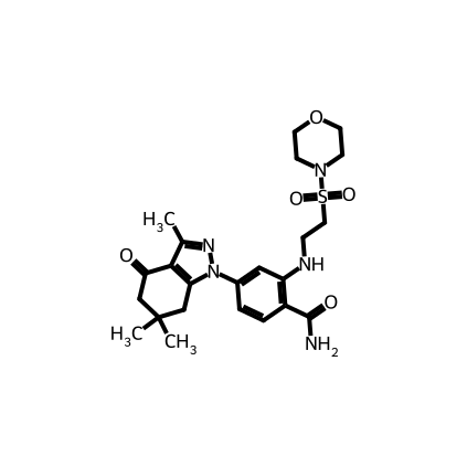 Cc1nn(-c2ccc(C(N)=O)c(NCCS(=O)(=O)N3CCOCC3)c2)c2c1C(=O)CC(C)(C)C2